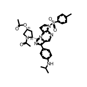 CC(=O)O[C@@H]1C[C@H](c2nc(-c3ccc(NC(C)C)cc3)c3cnc4c(ccn4S(=O)(=O)c4ccc(C)cc4)n23)N(C(C)=O)C1